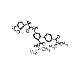 CC(C)NC(=O)c1ccc(NC(=O)C2(c3ccc4c(c3)OCO4)CC2)cc1-c1ccc(C(=O)N(C)C)cc1